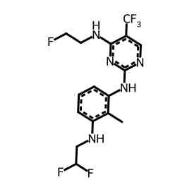 Cc1c(NCC(F)F)cccc1Nc1ncc(C(F)(F)F)c(NCCF)n1